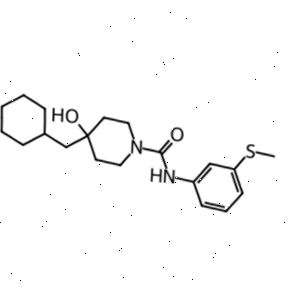 CSc1cccc(NC(=O)N2CCC(O)(CC3CCCCC3)CC2)c1